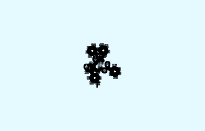 CC(C)(C)[Si](OCC1C2CC(c3ccc(F)cc3)(CO2)C1CCOC(=O)c1ccccc1)(c1ccccc1)c1ccccc1